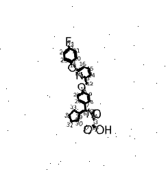 O=C(O)[C@H]1ON1C(c1ccc(OCc2cccc(Oc3ccc(F)cc3)n2)cc1)C1CCCC1